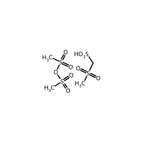 CS(=O)(=O)CS(=O)(=O)O.CS(=O)(=O)OS(C)(=O)=O